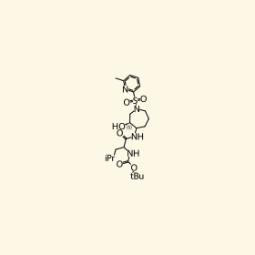 Cc1cccc(S(=O)(=O)N2CCCC(NC(=O)C(CC(C)C)NC(=O)OC(C)(C)C)[C@@H](O)C2)n1